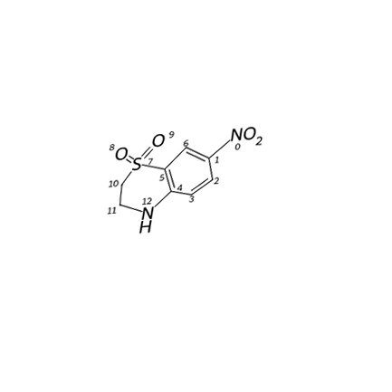 O=[N+]([O-])c1ccc2c(c1)S(=O)(=O)CCN2